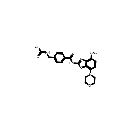 CCC(C)C(=O)NCc1ccc(C(=O)Nc2nc3c(OC)ccc(N4CCOCC4)c3s2)cc1